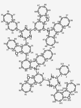 c1ccc(-c2nc(-c3cc(-n4c5cc6ccccc6cc5c5c(-c6ccc(-c7nc(-c8ccc9ccccc9c8)nc(-c8cc(-n9c%10ccccc%10c%10cc%11ccccc%11cc%109)c9oc%10ccccc%10c9c8)n7)c7c6oc6ccccc67)cccc54)c4oc5ccccc5c4c3)nc(-c3cccc4oc5ccccc5c34)n2)cc1